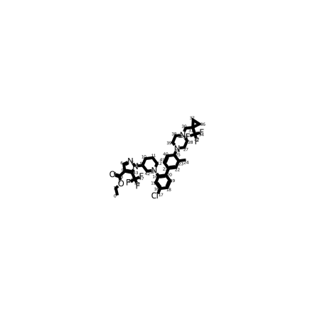 CCOC(=O)c1cnn(C2CCCN(c3cc(Cl)ccc3C3=CC(C)C(N4CCN(CC5(C(F)(F)F)CC5)CC4)C=C3)C2)c1C(F)(F)F